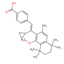 COc1c(C(=Cc2ccc(C(=O)O)cc2)C2CC2)c(C)cc2c1C(C)(C)CCC2(C)C